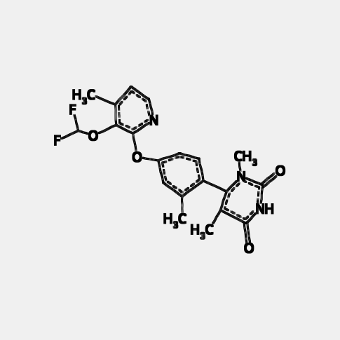 Cc1cc(Oc2nccc(C)c2OC(F)F)ccc1-c1c(C)c(=O)[nH]c(=O)n1C